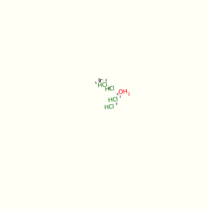 Cl.Cl.Cl.Cl.O.[Ir]